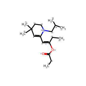 CCC(=O)O/C(=C/C1=CC(C)(C)CCN1CC(C)C)CC